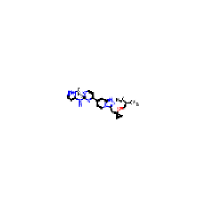 CC(C)COC1(Cc2nnc3cc(-c4ccnc(Nc5ccnn5C)n4)ccn23)CC1